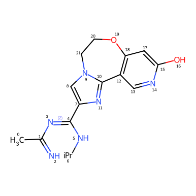 CC(=N)/N=C(\NC(C)C)c1cn2c(n1)-c1cnc(O)cc1OCC2